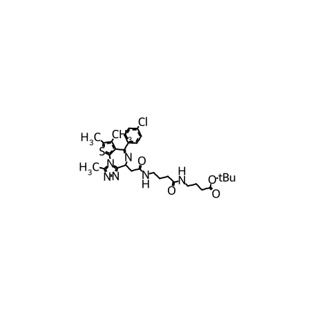 Cc1sc2c(c1C)C(c1ccc(Cl)cc1)=NC(CC(=O)NCCCC(=O)NCCCC(=O)OC(C)(C)C)c1nnc(C)n1-2